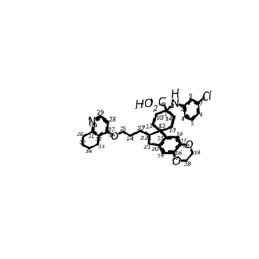 O=C(O)C1(Nc2cccc(Cl)c2)CCC2(CC1)c1cc3c(cc1CC2CCCOc1ccnc2c1CCCC2)OCCO3